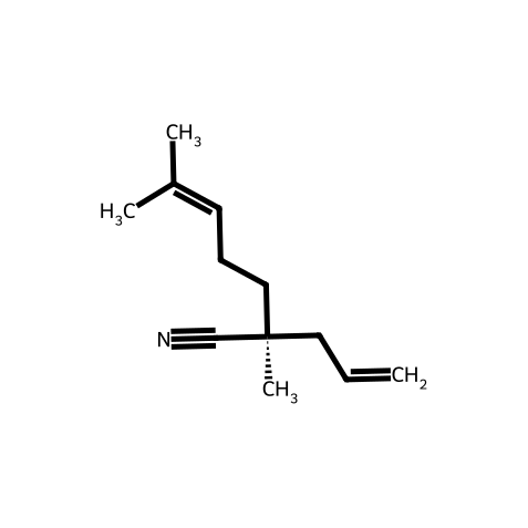 C=CC[C@@](C)(C#N)CCC=C(C)C